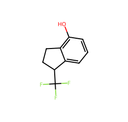 Oc1cccc2c1CCC2C(F)(F)F